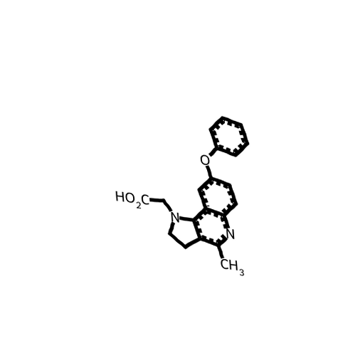 Cc1nc2ccc(Oc3ccccc3)cc2c2c1CCN2CC(=O)O